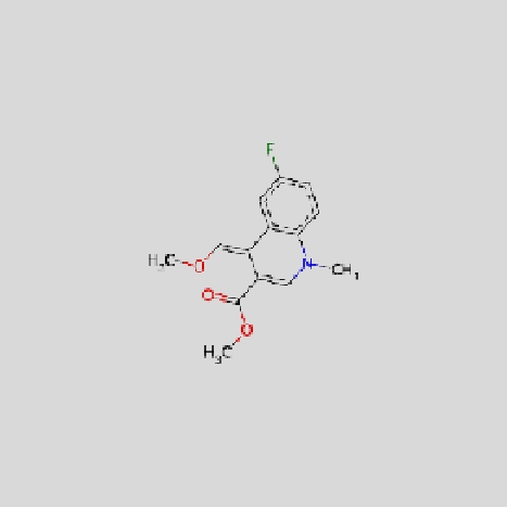 CO/C=C1\C(C(=O)OC)=CN(C)c2ccc(F)cc21